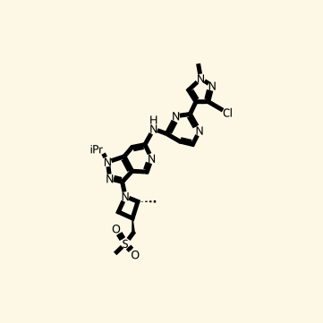 CC(C)n1nc(N2C[C@H](CS(C)(=O)=O)[C@H]2C)c2cnc(Nc3ccnc(-c4cn(C)nc4Cl)n3)cc21